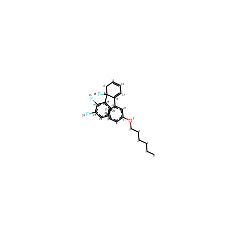 CCCCCCOc1cccc(C2=CC=CCC2(F)c2cccc(F)c2F)c1